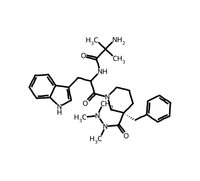 CN(C)N(C)C(=O)[C@]1(Cc2ccccc2)CCCN(C(=O)C(Cc2c[nH]c3ccccc23)NC(=O)C(C)(C)N)C1